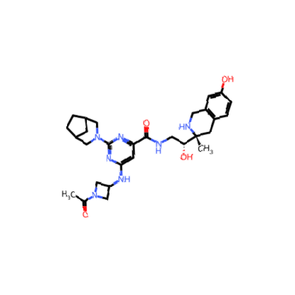 CC(=O)N1CC(Nc2cc(C(=O)NC[C@@H](O)[C@@]3(C)Cc4ccc(O)cc4CN3)nc(N3CC4CCC(C4)C3)n2)C1